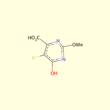 COc1nc(O)c(F)c(C(=O)O)n1